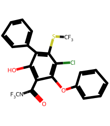 O=C(NC(F)(F)F)c1c(O)c(-c2ccccc2)c(SC(F)(F)F)c(Cl)c1Oc1ccccc1